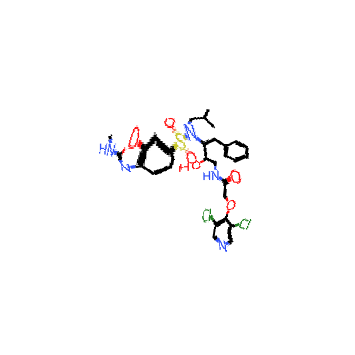 CNc1nc2ccc(S(=O)(=O)N(CC(C)C)C(Cc3ccccc3)C(O)CNC(=O)COc3c(Cl)cncc3Cl)cc2o1